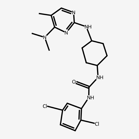 Cc1cnc(NC2CCC(NC(=O)Nc3cc(Cl)ccc3Cl)CC2)nc1N(C)C